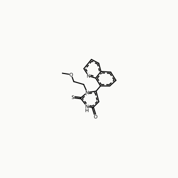 COCCn1c(-c2cccc3cccnc23)cc(=O)[nH]c1=S